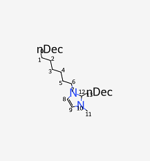 CCCCCCCCCCCCCCCCN1C=CN(C)C1CCCCCCCCCC